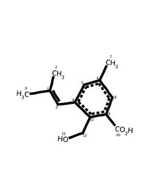 CC(C)=Cc1cc(C)cc(C(=O)O)c1CO